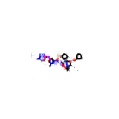 CC(=N)/C=C(/Oc1ccc(C(=O)NCC(=O)N2[C@H](c3cccc(F)c3)[C@H](OCc3ccccc3)C[C@@H]2C(C)(C)C#N)cc1C)C(N)=O